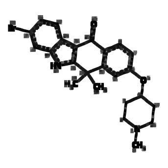 CN1CCC(Oc2ccc3c(c2)C(C)(C)c2[nH]c4cc(Br)ccc4c2C3=O)CC1